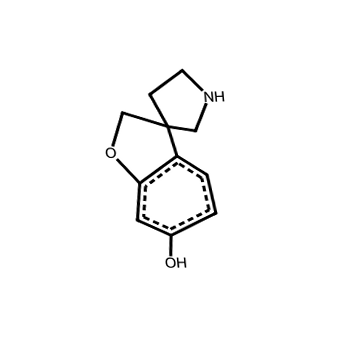 Oc1ccc2c(c1)OCC21CCNC1